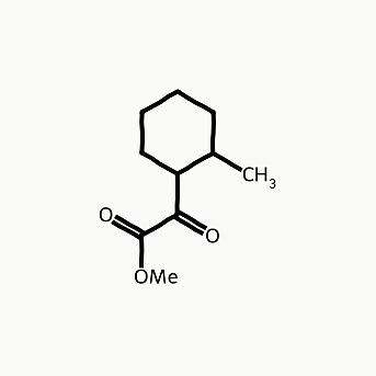 COC(=O)C(=O)C1CCCCC1C